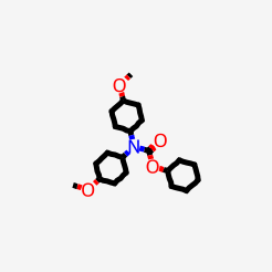 COC1CCC(N(C(=O)OC2CCCCC2)C2CCC(OC)CC2)CC1